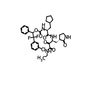 CCNC(=O)C(=O)[C@H](C[C@@H]1CCNC1=O)NC(=O)[C@H](CC1CCCC1)NC(=O)OC(c1ccccc1)C(F)(F)c1cccc(Cl)c1